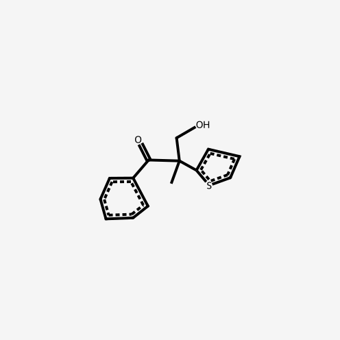 CC(CO)(C(=O)c1ccccc1)c1cccs1